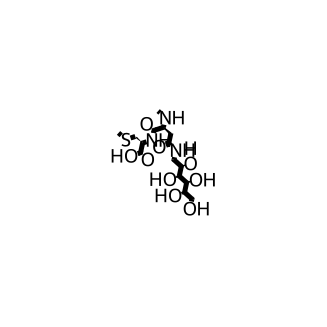 CN[C@@H](CC(=O)NC[C@H](O)[C@@H](O)[C@H](O)[C@H](O)CO)C(=O)N[C@@H](CSC)C(=O)O